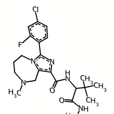 CNC(=O)C(NC(=O)c1nc(-c2ccc(Cl)cc2F)n2c1CN(C)CCC2)C(C)(C)C